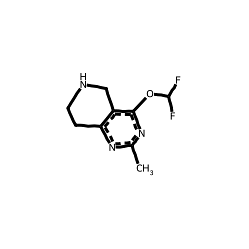 Cc1nc2c(c(OC(F)F)n1)CNCC2